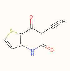 C#CC1C(=O)Nc2ccsc2C1=O